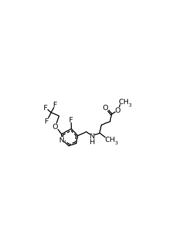 COC(=O)CCC(C)NCc1ccnc(OCC(F)(F)F)c1F